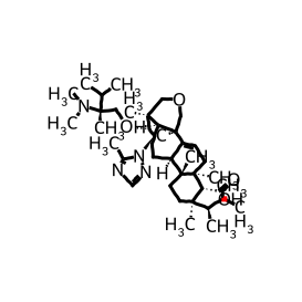 Cc1ncnn1[C@@H]1C[C@@]23COC[C@@](C)([C@@H]2CC[C@H]2C3=CC[C@@]3(C)[C@H](C(=O)O)[C@@](C)([C@H](C)C(C)C)CC[C@]23C)[C@H]1OC[C@@](C)(C(C)C)N(C)C